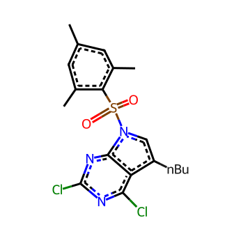 CCCCc1cn(S(=O)(=O)c2c(C)cc(C)cc2C)c2nc(Cl)nc(Cl)c12